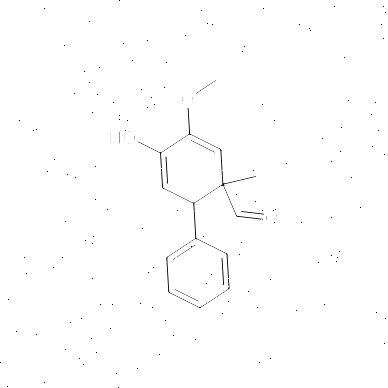 COC1=CC(C)(C=O)C(c2ccccc2)C=C1O